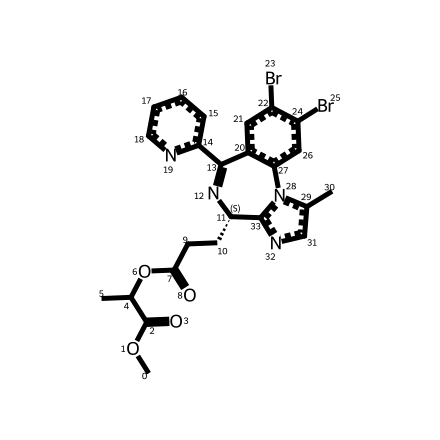 COC(=O)C(C)OC(=O)CC[C@@H]1N=C(c2ccccn2)c2cc(Br)c(Br)cc2-n2c(C)cnc21